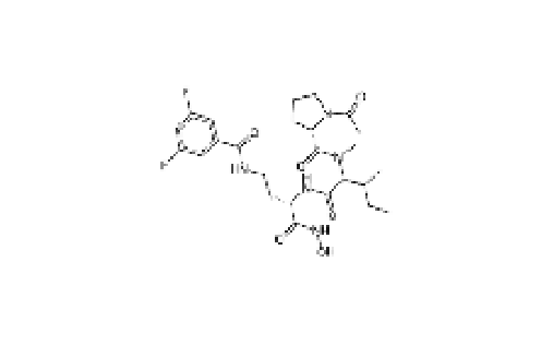 CCC(C)[C@@H](C(=O)N[C@@H](CCNC(=O)c1cc(F)cc(F)c1)C(=O)NO)N(C)C(=O)[C@@H]1CCCN1C(C)=O